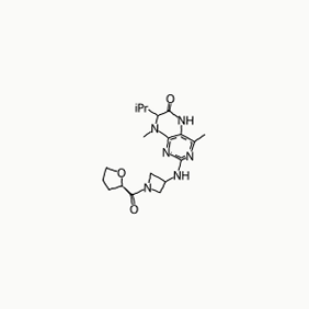 Cc1nc(NC2CN(C(=O)[C@H]3CCCO3)C2)nc2c1NC(=O)C(C(C)C)N2C